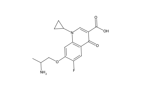 CC(N)COc1cc2c(cc1F)c(=O)c(C(=O)O)cn2C1CC1